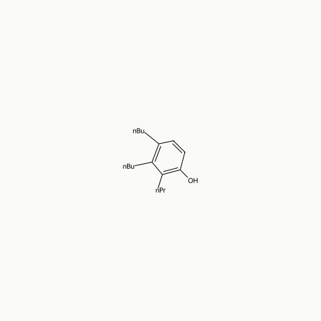 CCCCc1ccc(O)c(CCC)c1CCCC